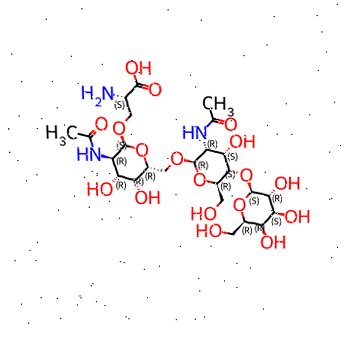 CC(=O)N[C@H]1[C@@H](OC[C@H](N)C(=O)O)O[C@H](CO[C@@H]2O[C@H](CO)[C@@H](O[C@@H]3O[C@H](CO)[C@H](O)[C@H](O)[C@H]3O)[C@@H](O)[C@H]2NC(C)=O)[C@H](O)[C@@H]1O